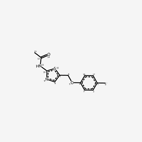 [CH2]c1ccc(OCc2cnc(NC(C)=O)s2)cc1